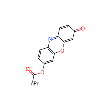 CCCC(=O)Oc1ccc2nc3ccc(=O)cc-3oc2c1